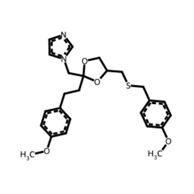 COc1ccc(CCC2(Cn3ccnc3)OCC(CSCc3ccc(OC)cc3)O2)cc1